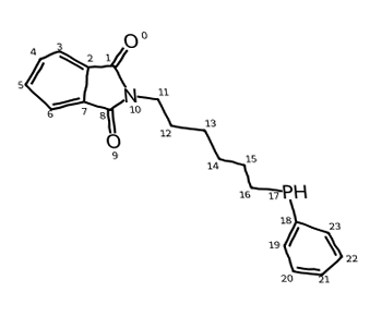 O=C1c2ccccc2C(=O)N1CCCCCCPc1ccccc1